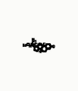 CCO/N=C(\C)C1CCC2[C@@H]3CCC4=CC(=O)CCC4(C)C3CCC12C